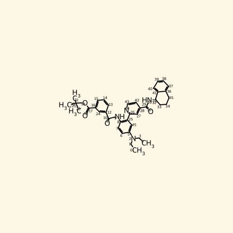 CCN(CC)c1ccc(NC(=O)c2cccc(C(=O)OC(C)(C)C)c2)c(-c2cc(C(=O)N[C@H]3CCCc4ccccc43)ccn2)c1